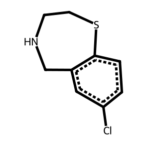 Clc1ccc2c(c1)CNCCS2